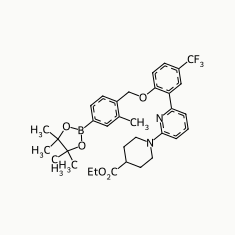 CCOC(=O)C1CCN(c2cccc(-c3cc(C(F)(F)F)ccc3OCc3ccc(B4OC(C)(C)C(C)(C)O4)cc3C)n2)CC1